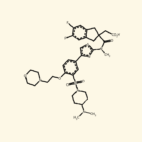 CN(C(=O)C1(CC(=O)O)Cc2cc(F)c(F)cc2C1)c1nc(-c2ccc(OCCN3CCOCC3)c(S(=O)(=O)N3CCC(N(C)C)CC3)c2)cs1